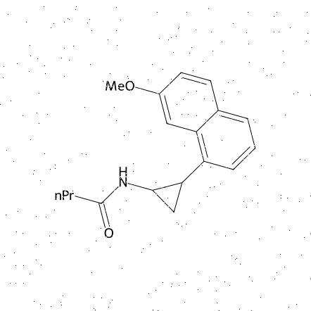 CCCC(=O)NC1CC1c1cccc2ccc(OC)cc12